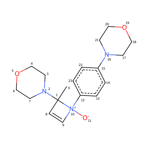 CC1(N2CCOCC2)C=C[N+]1([O-])c1ccc(N2CCOCC2)cc1